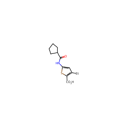 CCc1cc(NC(=O)C2CCCC2)sc1C(=O)O